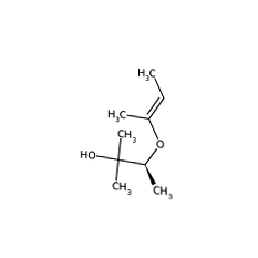 C/C=C(\C)O[C@@H](C)C(C)(C)O